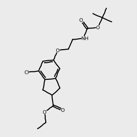 CCOC(=O)C1Cc2cc(OCCNC(=O)OC(C)(C)C)cc(Cl)c2C1